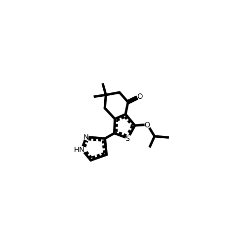 CC(C)Oc1sc(-c2cc[nH]n2)c2c1C(=O)CC(C)(C)C2